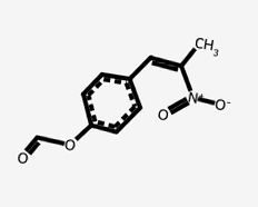 CC(=Cc1ccc(OC=O)cc1)[N+](=O)[O-]